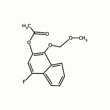 COCOc1c(OC(C)=O)cc(F)c2ccccc12